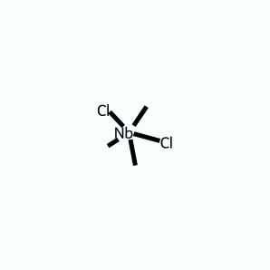 [CH3][Nb]([CH3])([CH3])([Cl])[Cl]